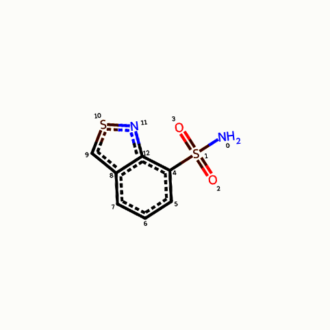 NS(=O)(=O)c1cccc2csnc12